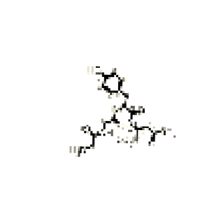 NCC(=O)NCC(=O)N[C@@H](Cc1ccc(O)cc1)C(=O)N[C@@H](CC(N)=O)C(=O)O